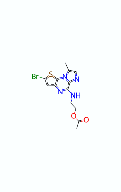 CC(=O)OCCNc1nc2cc(Br)sc2n2c(C)cnc12